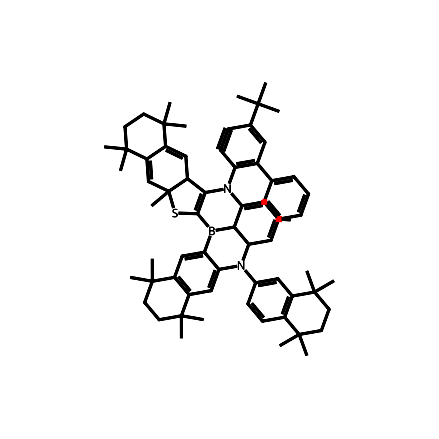 CC1=CC2C3B(C4=C(C5C=C6C(=CC5(C)S4)C(C)(C)CCC6(C)C)N(c4c#cc(C(C)(C)C)cc4-c4ccccc4)C3=C1)c1cc3c(cc1N2c1ccc2c(c1)C(C)(C)CCC2(C)C)C(C)(C)CCC3(C)C